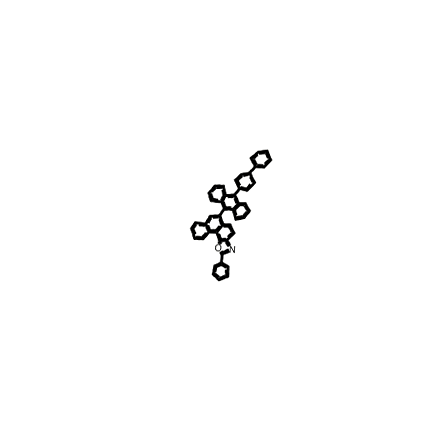 c1ccc(-c2ccc(-c3c4ccccc4c(-c4cc5ccccc5c5c4ccc4nc(-c6ccccc6)oc45)c4ccccc34)cc2)cc1